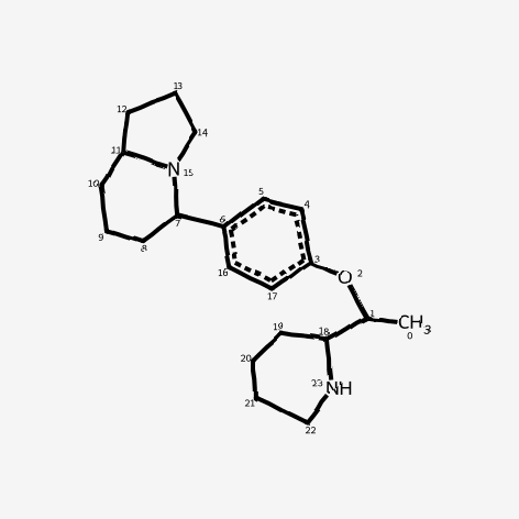 CC(Oc1ccc(C2CCCC3CCCN32)cc1)C1CCCCN1